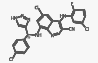 N#Cc1cnc2c(N[C@@H](c3ccc(Cl)cc3)c3c[nH]nn3)cc(Cl)cc2c1Nc1cc(Cl)ccc1F